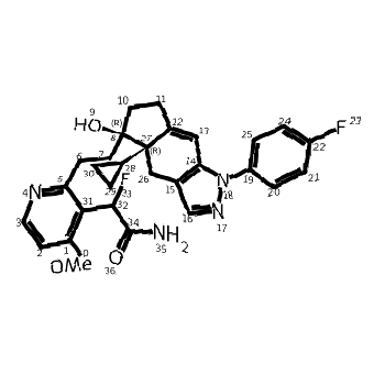 COc1ccnc(CC[C@]2(O)CCC3=Cc4c(cnn4-c4ccc(F)cc4)C[C@@]32C2CC2)c1C(F)C(N)=O